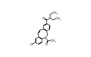 CCN(CC)C(=O)c1ccc2c(c1)C=Cc1cc(Cl)ccc1N(C(C)=O)C2